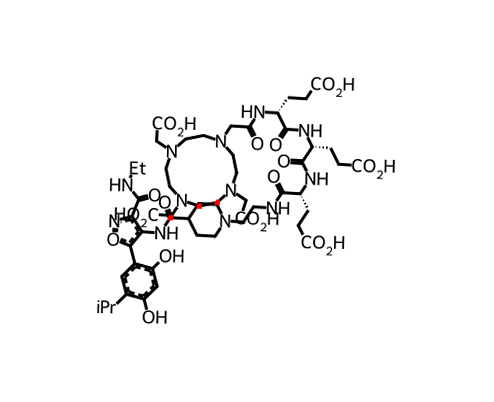 CCNC(=O)c1noc(-c2cc(C(C)C)c(O)cc2O)c1NC(=O)C1CCN(CCNC(=O)[C@@H](CCC(=O)O)NC(=O)[C@@H](CCC(=O)O)NC(=O)[C@@H](CCC(=O)O)NC(=O)CN2CCN(CC(=O)O)CCN(CC(=O)O)CCN(CC(=O)O)CC2)CC1